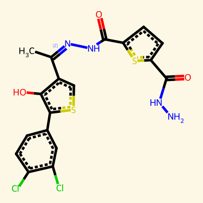 C/C(=N/NC(=O)c1ccc(C(=O)NN)s1)c1csc(-c2ccc(Cl)c(Cl)c2)c1O